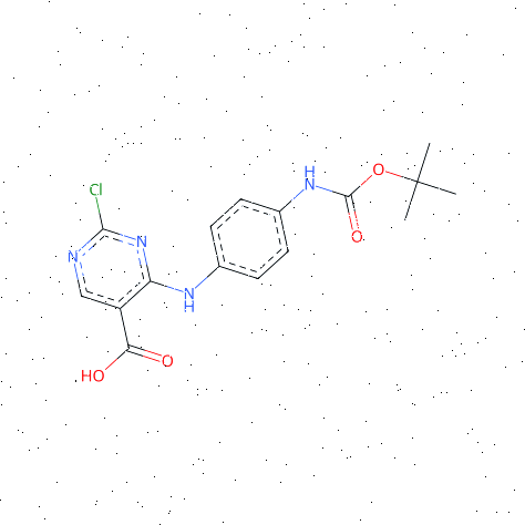 CC(C)(C)OC(=O)Nc1ccc(Nc2nc(Cl)ncc2C(=O)O)cc1